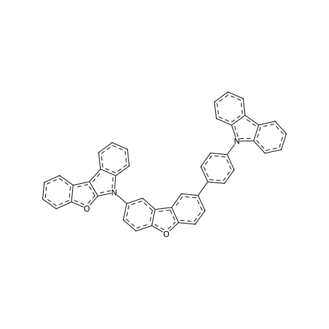 c1ccc2c(c1)oc1c2c2ccccc2n1-c1ccc2oc3ccc(-c4ccc(-n5c6ccccc6c6ccccc65)cc4)cc3c2c1